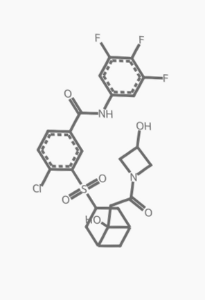 O=C(Nc1cc(F)c(F)c(F)c1)c1ccc(Cl)c(S(=O)(=O)C2CC3CC(C2)C3(O)CC(=O)N2CC(O)C2)c1